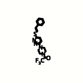 O=C(N1CCN(c2ccc(SC=Cc3ccccc3)nn2)CC1)C(F)(F)F